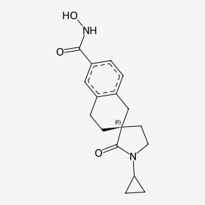 O=C(NO)c1ccc2c(c1)CC[C@]1(CCN(C3CC3)C1=O)C2